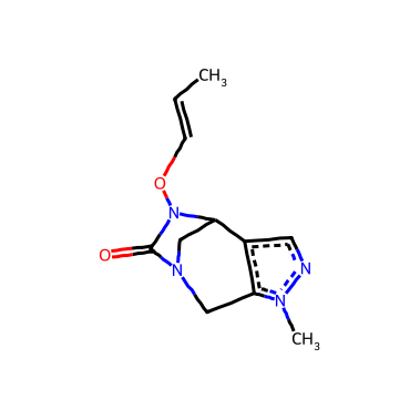 CC=CON1C(=O)N2Cc3c(cnn3C)C1C2